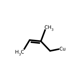 CC=C(C)[CH2][Cu]